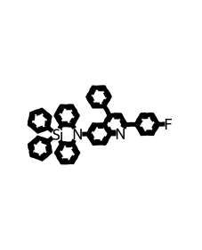 Fc1ccc(-c2cc(-c3ccccc3)c3cc(N4c5ccccc5[Si](c5ccccc5)(c5ccccc5)c5ccccc54)ccc3n2)cc1